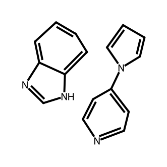 c1ccc2[nH]cnc2c1.c1ccn(-c2ccncc2)c1